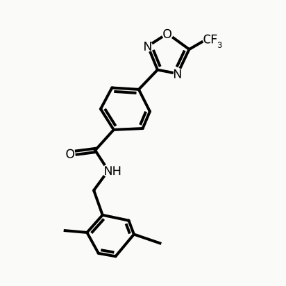 Cc1ccc(C)c(CNC(=O)c2ccc(-c3noc(C(F)(F)F)n3)cc2)c1